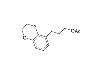 CC(=O)OCCCc1cccc2c1SCCO2